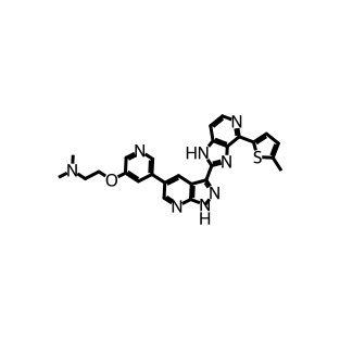 Cc1ccc(-c2nccc3[nH]c(-c4n[nH]c5ncc(-c6cncc(OCCN(C)C)c6)cc45)nc23)s1